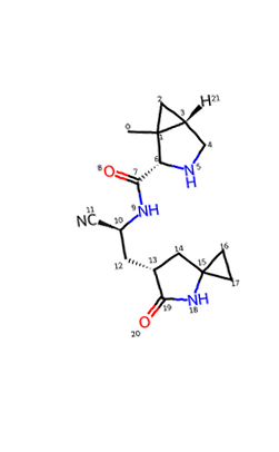 CC12C[C@@H]1CN[C@@H]2C(=O)N[C@H](C#N)C[C@@H]1CC2(CC2)NC1=O